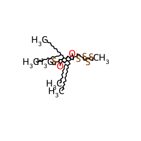 CCCCCCCCCCCCC(CCCCCCCCCC)Cc1c2cc3c(=O)c(-c4ccc(-c5cc6sc7cc(C)sc7c6s5)s4)cc3c(CC(CCCCCCCCCC)CCCCCCCCCCCC)c2cc2c(=O)c(-c3ccc(C)s3)cc12